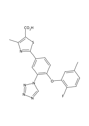 Cc1ccc(F)c(Oc2ccc(-c3nc(C)c(C(=O)O)s3)cc2-n2cnnn2)c1